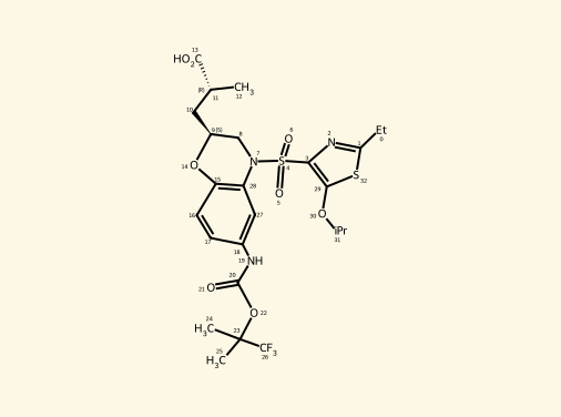 CCc1nc(S(=O)(=O)N2C[C@H](C[C@@H](C)C(=O)O)Oc3ccc(NC(=O)OC(C)(C)C(F)(F)F)cc32)c(OC(C)C)s1